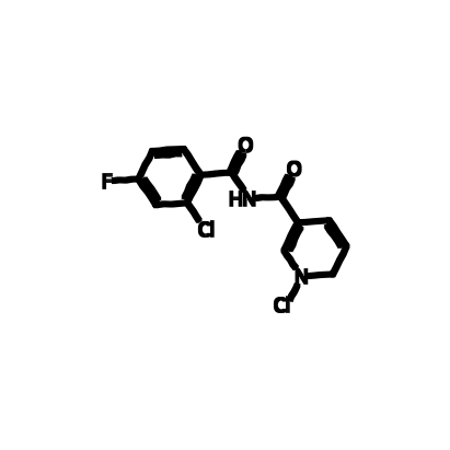 O=C(NC(=O)c1ccc(F)cc1Cl)C1=CN(Cl)CC=C1